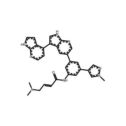 CN(C)CC=CC(=O)Nc1cc(-c2cnc3[nH]cc(-c4ccnc5[nH]ccc45)c3c2)cc(-c2cnn(C)c2)c1